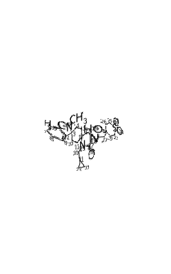 CN(C)[C@]1(c2ccccc2)CC[C@@]2(CC1)CN(CC1(O)CCS(=O)(=O)CC1)C(=O)N2CC1CC1